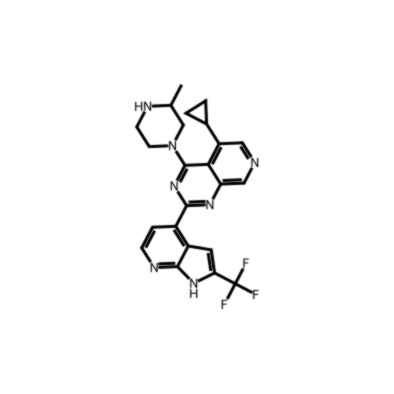 CC1CN(c2nc(-c3ccnc4[nH]c(C(F)(F)F)cc34)nc3cncc(C4CC4)c23)CCN1